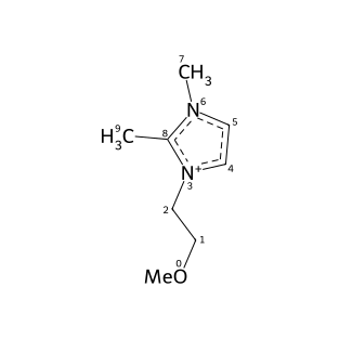 COCC[n+]1ccn(C)c1C